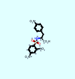 O=C(O)[C@H](Cc1ccc([N+](=O)[O-])cc1)NS(=O)(=O)c1ccc([N+](=O)[O-])cc1[N+](=O)[O-]